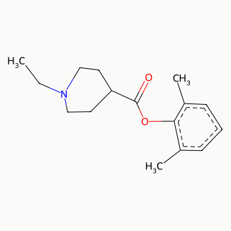 CCN1CCC(C(=O)Oc2c(C)cccc2C)CC1